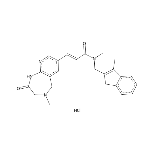 CC1=C(CN(C)C(=O)C=Cc2cnc3c(c2)CN(C)CC(=O)N3)Cc2ccccc21.Cl